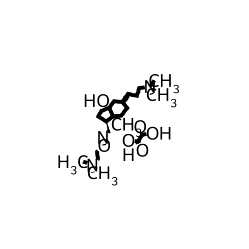 CN(C)CC/C=C1\CC[C@]2(C)[C@@H](/C=N/OCCN(C)C)CC[C@]2(O)C1.O=C(O)C(=O)O